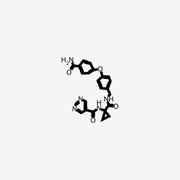 NC(=O)c1ccc(Oc2ccc(CNC(=O)C3(NC(=O)c4cncnc4)CC3)cc2)cc1